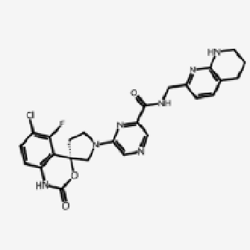 O=C1Nc2ccc(Cl)c(F)c2[C@]2(CCN(c3cncc(C(=O)NCc4ccc5c(n4)NCCC5)n3)C2)O1